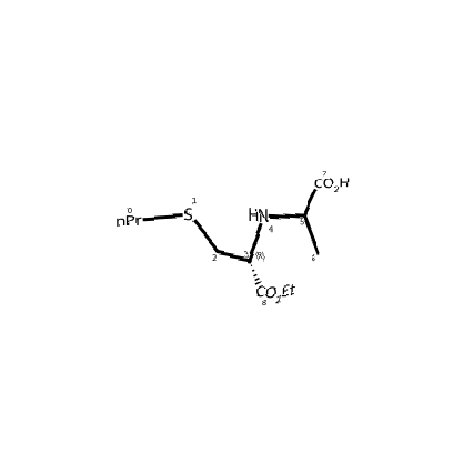 CCCSC[C@H](NC(C)C(=O)O)C(=O)OCC